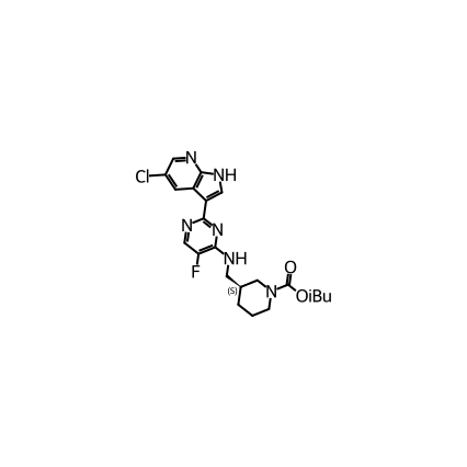 CC(C)COC(=O)N1CCC[C@@H](CNc2nc(-c3c[nH]c4ncc(Cl)cc34)ncc2F)C1